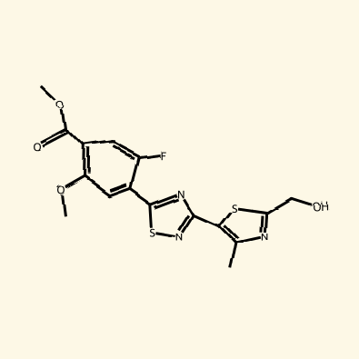 COC(=O)c1cc(F)c(-c2nc(-c3sc(CO)nc3C)ns2)cc1OC